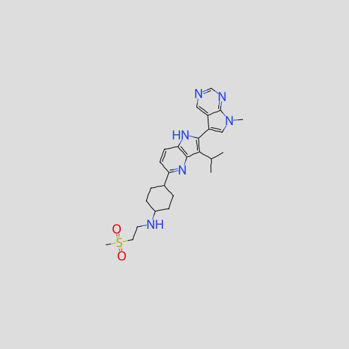 CC(C)c1c(-c2cn(C)c3ncncc23)[nH]c2ccc(C3CCC(NCCS(C)(=O)=O)CC3)nc12